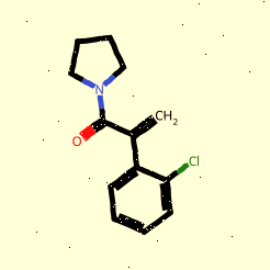 C=C(C(=O)N1CCCC1)c1ccccc1Cl